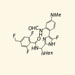 CCCCCCC(NC(=O)c1c(F)cc(CF)cc1F)c1nc(-c2ccc(NC)cc2NC=O)c(F)[nH]1